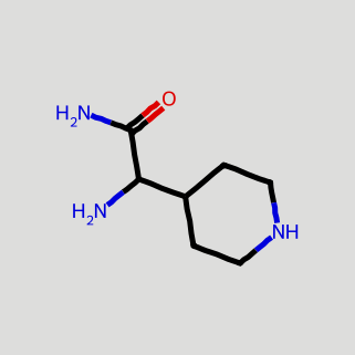 NC(=O)C(N)C1CCNCC1